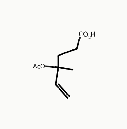 C=CC(C)(CCC(=O)O)OC(C)=O